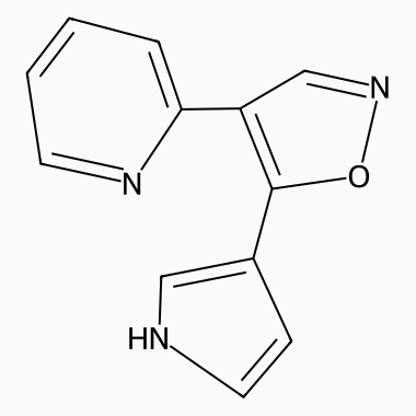 c1ccc(-c2cnoc2-c2cc[nH]c2)nc1